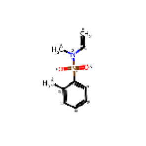 C=CN(C)S(=O)(=O)c1ccccc1C